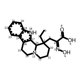 CCC1(CC(=NO)C(=O)O)CCCN2CCc3c([nH]c4ccccc34)C21